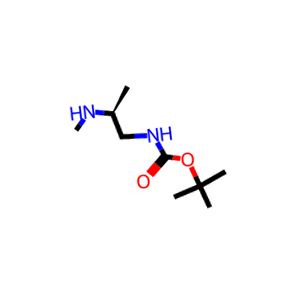 CN[C@@H](C)CNC(=O)OC(C)(C)C